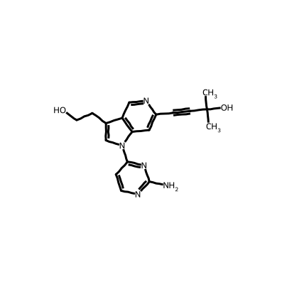 CC(C)(O)C#Cc1cc2c(cn1)c(CCO)cn2-c1ccnc(N)n1